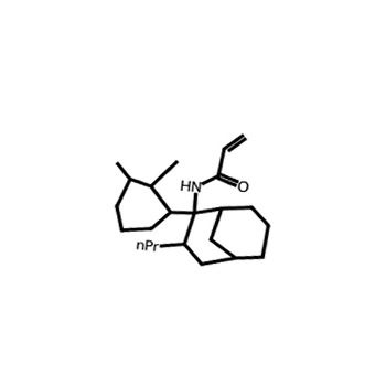 C=CC(=O)NC1(C2CCCC(C)C2C)C(CCC)CC2CCCC1C2